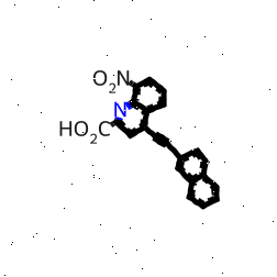 O=C(O)c1cc(C#Cc2ccc3ccccc3c2)c2cccc([N+](=O)[O-])c2n1